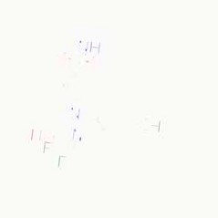 CCc1ccc(C2=NC(O)(C(F)(F)F)CN2c2ccc(S(N)(=O)=O)cc2)cc1